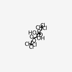 O=C(OCC(Cl)(Cl)Cl)C(O)C(O)C(=O)OCC(Cl)(Cl)Cl